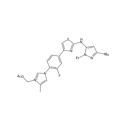 CCn1nc(C(C)(C)C)cc1Nc1nc(-c2ccc(-n3cc(C)[n+](COC(C)=O)c3)c(F)c2)cs1